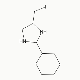 ICC1CNC(C2CCCCC2)N1